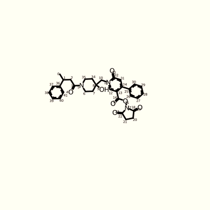 CC(CC(=O)N1CCC(O)(Cn2cc(C(=O)ON3C(=O)CCC3=O)c(-c3ccccc3)cc2=O)CC1)c1ccccc1